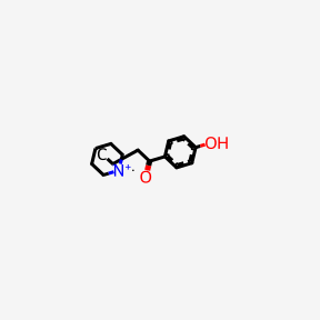 O=C(CC1CC2CC[N+]1CC2)c1ccc(O)cc1